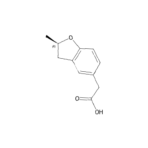 C[C@@H]1Cc2cc(CC(=O)O)ccc2O1